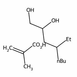 C=C(C)C(=O)O.CCCCC(CC)CC(O)CO